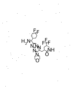 N[C@H](c1cn2nc(CC3C[C@@H](C(F)(F)F)CNC3=O)c(N3CCOCC3)nc2n1)C1CCC(F)(F)CC1